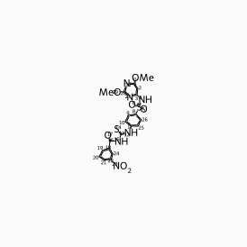 COc1cc(NS(=O)(=O)c2ccc(NC(=S)NC(=O)c3cccc([N+](=O)[O-])c3)cc2)nc(OC)n1